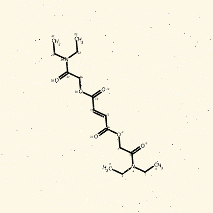 CCN(CC)C(=O)COC(=O)C=CC(=O)OCC(=O)N(CC)CC